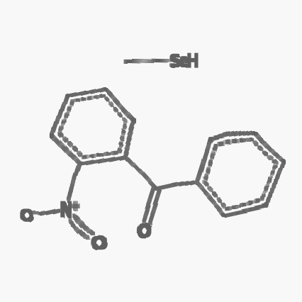 C[SeH].O=C(c1ccccc1)c1ccccc1[N+](=O)[O-]